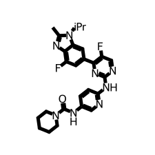 Cc1nc2c(F)cc(-c3nc(Nc4ccc(NC(=O)N5CCCCC5)cn4)ncc3F)cc2n1C(C)C